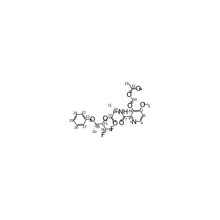 COc1ccnc(C(=O)N[C@@H](C)C(=O)OC(C(F)F)[C@H](C)Oc2ccccc2)c1OCOC(C)=O